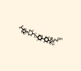 CC(C)c1noc(N2CCC(COc3ccc(-c4ccc(S(=O)(=O)NCCO)cc4)nc3)CC2)n1